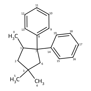 CC1CC(C)(C)CC1(c1cc[c]cc1)c1cc[c]cc1